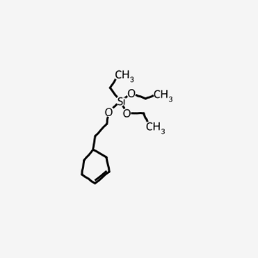 CCO[Si](CC)(OCC)OCCC1CC=CCC1